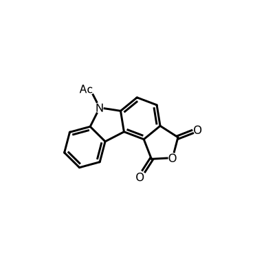 CC(=O)n1c2ccccc2c2c3c(ccc21)C(=O)OC3=O